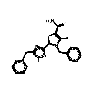 CC1=C(C(N)=O)SC(c2n[nH]c(Cc3ccccc3)n2)N1Cc1ccccc1